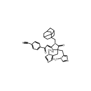 Cn1cncc1CC1(Cc2cncn2C)N/C(=C\C(=O)c2ccc(C#N)cc2)N(CC23CC4CC(CC(C4)C2)C3)C1=O